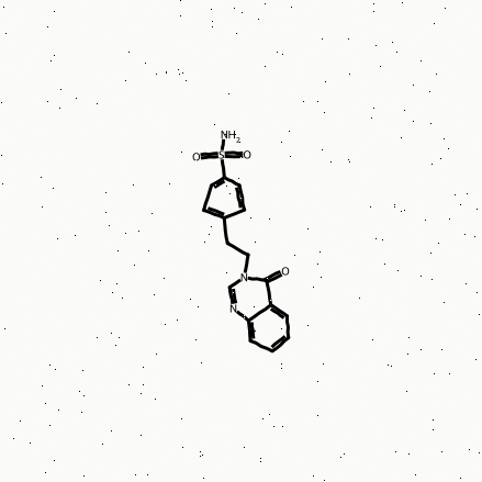 NS(=O)(=O)c1ccc(CCn2cnc3ccccc3c2=O)cc1